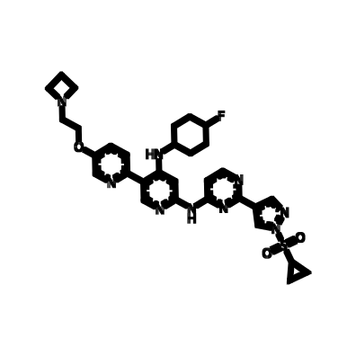 O=S(=O)(C1CC1)n1cc(-c2nccc(Nc3cc(NC4CCC(F)CC4)c(-c4ccc(OCCN5CCC5)cn4)cn3)n2)cn1